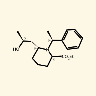 CCOC(=O)[C@H]1CCC[C@H](C[C@H](C)O)N1[C@@H](C)c1ccccc1